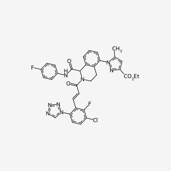 CCOC(=O)c1cc(C)n(-c2cccc3c2CCN(C(=O)/C=C/c2c(-n4cnnn4)ccc(Cl)c2F)C3C(=O)Nc2ccc(F)cc2)n1